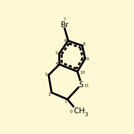 CC1CCc2cc(Br)ccc2S1